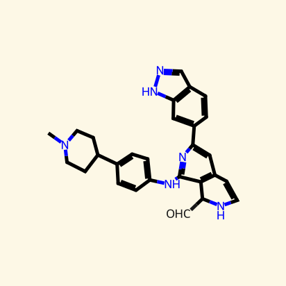 CN1CCC(c2ccc(Nc3nc(-c4ccc5cn[nH]c5c4)cc4c3C(C=O)NC=C4)cc2)CC1